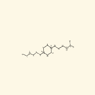 CCOCCCN1CCN(CCCOC(C)C)CC1